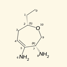 CC[C@H]1CC=C(N)[C@@H](N)CO1